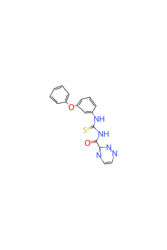 O=C(NC(=S)Nc1cccc(Oc2ccccc2)c1)c1nccnn1